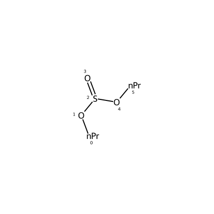 CCCOS(=O)OCCC